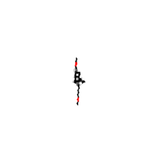 CC/C=C/CCOc1ccc2c(OC(C)C)c(OCCCCCCCCCC)c(=O)oc2c1